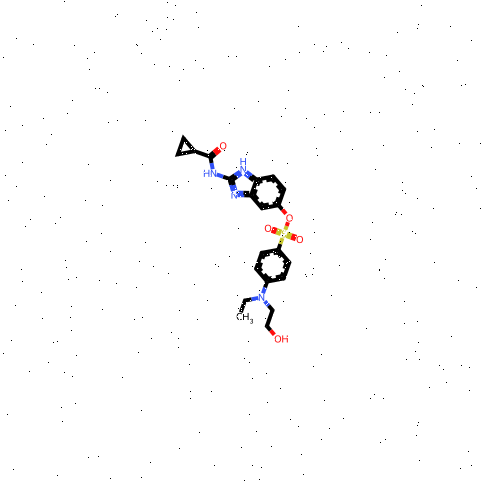 CCN(CCO)c1ccc(S(=O)(=O)Oc2ccc3[nH]c(NC(=O)C4CC4)nc3c2)cc1